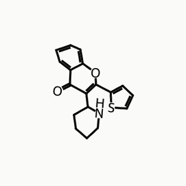 O=c1c(C2CCCCN2)c(-c2cccs2)oc2ccccc12